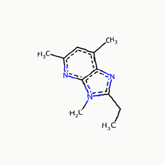 [CH2]n1c(CC)nc2c(C)cc(C)nc21